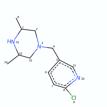 CC1CN(Cc2ccc(Cl)nc2)CC(C)N1